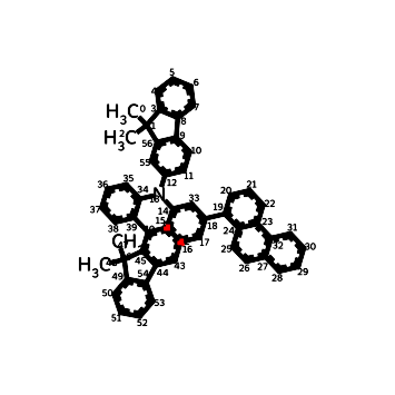 CC1(C)c2ccccc2-c2ccc(N(c3cccc(-c4cccc5c4ccc4ccccc45)c3)c3ccccc3-c3cccc4c3C(C)(C)c3ccccc3-4)cc21